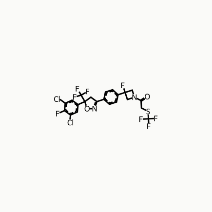 O=C(CSC(F)(F)F)N1CC(F)(c2ccc(C3=NOC(c4cc(Cl)c(F)c(Cl)c4)(C(F)(F)F)C3)cc2)C1